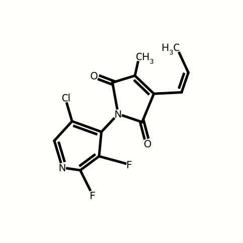 C/C=C\C1=C(C)C(=O)N(c2c(Cl)cnc(F)c2F)C1=O